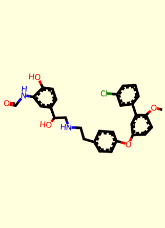 COc1ccc(Oc2ccc(CCNCC(O)c3ccc(O)c(NC=O)c3)cc2)cc1-c1cccc(Cl)c1